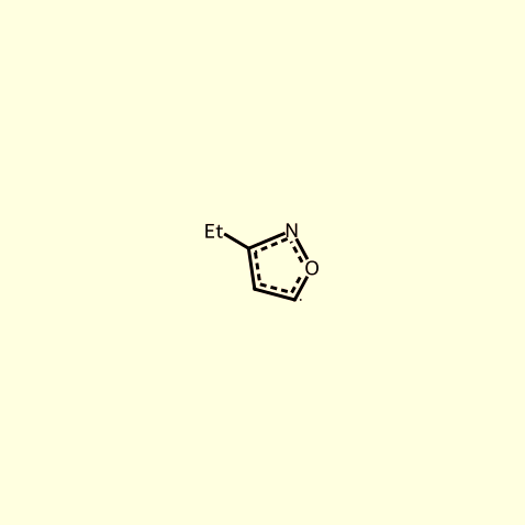 CCc1c[c]on1